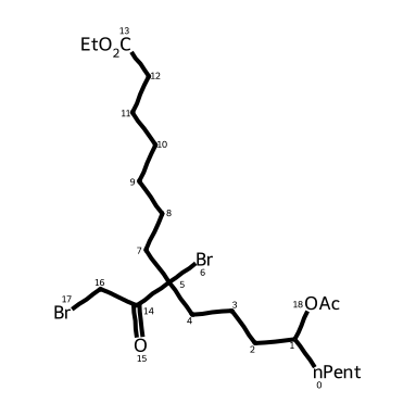 CCCCCC(CCCC(Br)(CCCCCCC(=O)OCC)C(=O)CBr)OC(C)=O